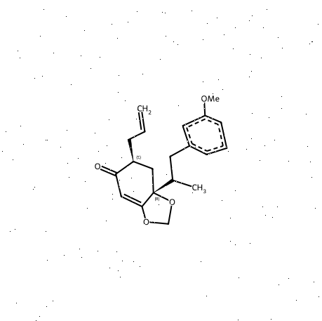 C=CC[C@H]1C[C@]2(C(C)Cc3cccc(OC)c3)OCOC2=CC1=O